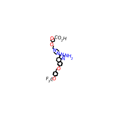 Nc1nc2c(c(N3CCN(CCOC4COC(C(=O)O)C4)CC3)n1)CCc1cc(OCc3ccc(OC(F)(F)F)cc3)ccc1-2